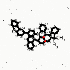 CC1(C)c2ccccc2-c2c(-c3ccccc3N(c3ccc(-c4ccc5oc6ccccc6c5c4)cc3)c3ccccc3-c3cccc4ccccc34)cccc21